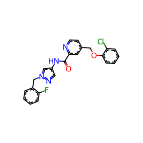 O=C(Nc1cnn(Cc2ccccc2F)c1)c1cc(COc2ccccc2Cl)ccn1